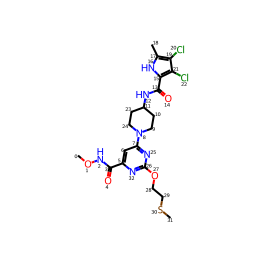 CONC(=O)c1cc(N2CCC(NC(=O)c3[nH]c(C)c(Cl)c3Cl)CC2)nc(OCCSC)n1